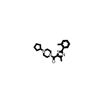 Cc1ccccc1-c1nc(C)c(C(=O)N2CCN(C3CCCC3)CC2)s1